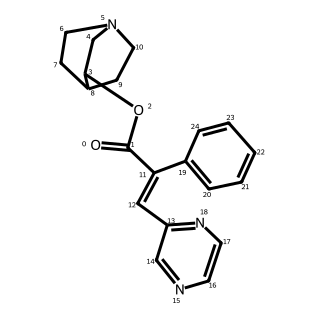 O=C(OC1CN2CCC1CC2)C(=Cc1cnccn1)c1ccccc1